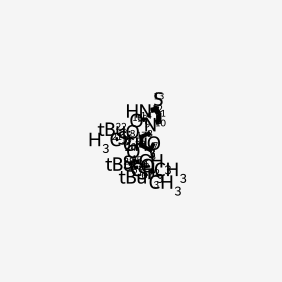 CC(C)(C)[Si](C)(C)OC[C@H]1O[C@@H](n2ccc(=S)[nH]c2=O)[C@H](O[Si](C)(C)C(C)(C)C)[C@@H]1O[Si](C)(C)C(C)(C)C